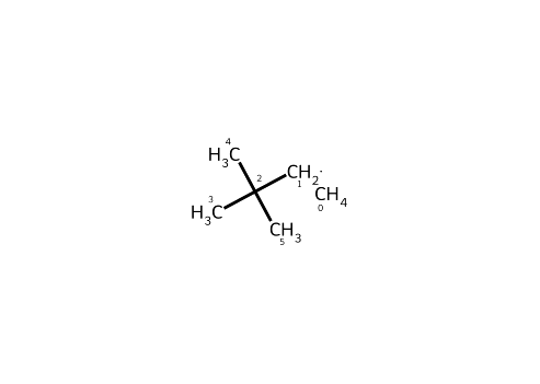 C.[CH2]C(C)(C)C